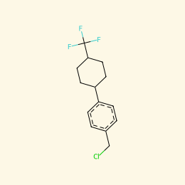 FC(F)(F)C1CCC(c2ccc(CCl)cc2)CC1